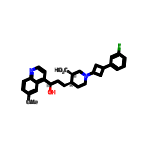 COc1ccc2nccc([C@H](O)CC[C@@H]3CCN(C4CC(c5cccc(F)c5)C4)C[C@@H]3C(=O)O)c2c1